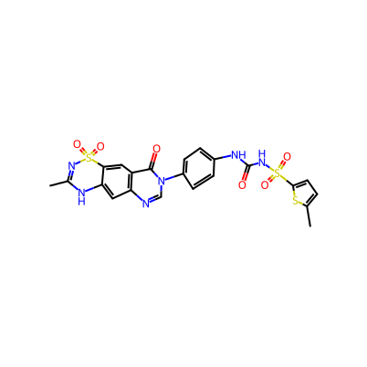 CC1=NS(=O)(=O)c2cc3c(=O)n(-c4ccc(NC(=O)NS(=O)(=O)c5ccc(C)s5)cc4)cnc3cc2N1